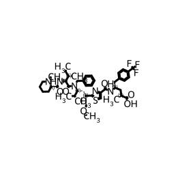 CC[C@H](C)[C@H](NC(=O)[C@H]1CCCCN1C)C(=O)N(Cc1ccccc1)[C@H](C[C@@H](OCOC)c1nc(C(=O)N[C@@H](Cc2ccc(C(F)(F)F)cc2)C[C@H](C)C(=O)O)cs1)C(C)C